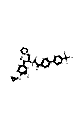 O=C(NC(CN1CCCC1)C(O)c1ccc(OC2CC2)c(Cl)c1)C(=O)c1ccc(-c2ccc(C(F)(F)F)cc2)cc1